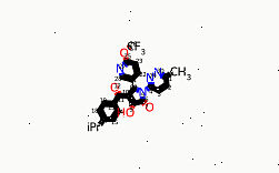 Cc1ccc(N2C(=O)C(O)=C(C(=O)c3ccc(C(C)C)cc3)[C@@H]2c2ccc(OC(F)(F)F)nc2)nn1